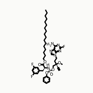 C#C[C@](CCn1cnc2c(N)nc(F)nc21)(COP(=O)(N[C@@H](Cc1cc(F)cc(F)c1)C(=O)OCCCCCCCCCCCCCCCCC)Oc1ccccc1)OC